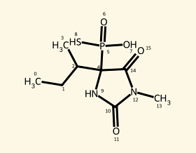 CCC(C)C1(P(=O)(O)S)NC(=O)N(C)C1=O